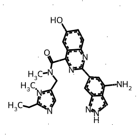 CCc1ncc(CN(C)C(=O)c2nc(-c3cc(N)c4c[nH]nc4c3)nc3ccc(O)cc23)n1C